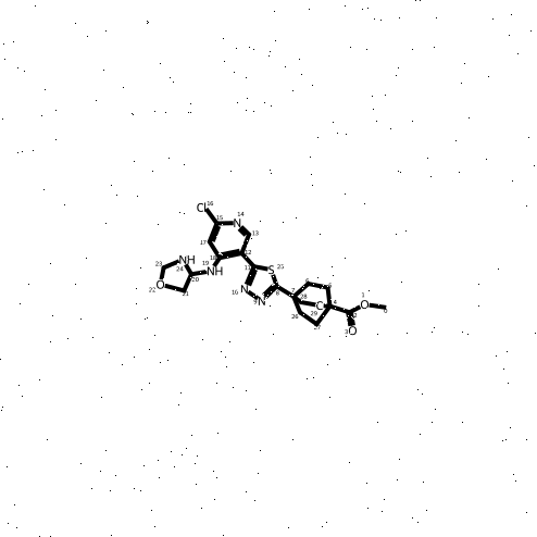 COC(=O)C12CCC(c3nnc(-c4cnc(Cl)cc4NC4COCN4)s3)(CC1)CC2